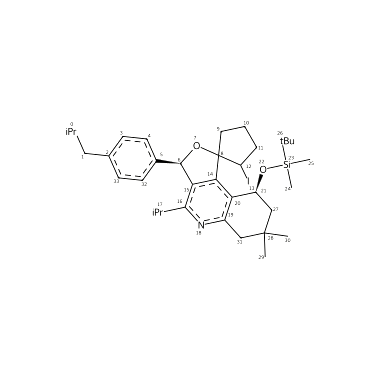 CC(C)Cc1ccc([C@H]2OC3(CCCC3I)c3c2c(C(C)C)nc2c3[C@@H](O[Si](C)(C)C(C)(C)C)CC(C)(C)C2)cc1